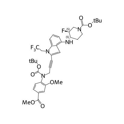 COC(=O)c1ccc(N(CC#Cc2cc3c(N[C@H]4CCN(C(=O)OC(C)(C)C)C[C@@H]4F)cccc3n2CC(F)(F)F)C(=O)OC(C)(C)C)c(OC)c1